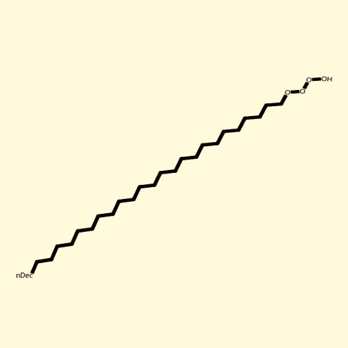 CCCCCCCCCCCCCCCCCCCCCCCCCCCCCCCCCCOOOO